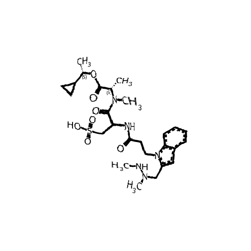 CNN(C)Cc1cc2ccccc2n1CCC(=O)NC(CS(=O)(=O)O)C(=O)N(C)[C@@H](C)C(=O)O[C@@H](C)C1CC1